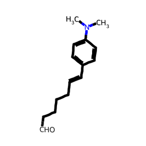 CN(C)c1ccc(C=CCCCCC=O)cc1